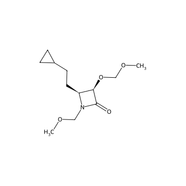 COCO[C@H]1C(=O)N(COC)[C@H]1CCC1CC1